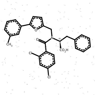 Cc1cccc(-c2ccc(CN(C(=O)c3ccc(Cl)cc3Cl)[C@@H](Cc3ccccc3)C(=O)O)o2)c1